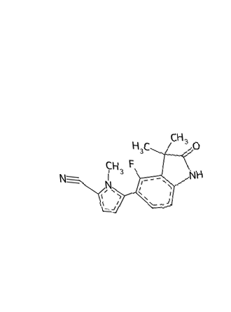 Cn1c(C#N)ccc1-c1ccc2c(c1F)C(C)(C)C(=O)N2